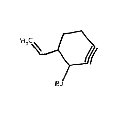 C=CC1CCC#CC1C(C)CC